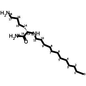 CCCCCCCCCCCCN[C@@H](CCCCN)C(N)=O